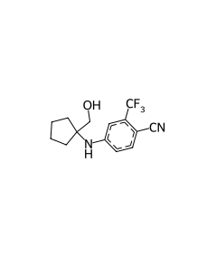 N#Cc1ccc(NC2(CO)CCCC2)cc1C(F)(F)F